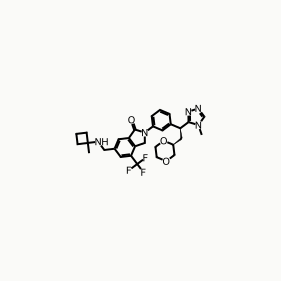 Cn1cnnc1[C@@H](C[C@H]1COCCO1)c1cccc(N2Cc3c(cc(CNC4(C)CCC4)cc3C(F)(F)F)C2=O)c1